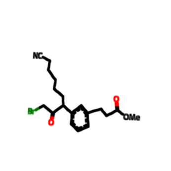 COC(=O)CCc1cccc(C(CCCCCC#N)C(=O)CBr)c1